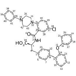 O=C(N[C@@H](Cc1ccc(-c2ccccc2Oc2ccccc2)cc1)C(=O)O)c1cc(Cl)ccc1N1CCN(c2ccccc2)CC1